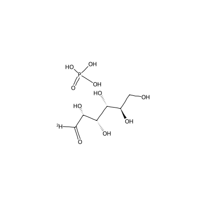 O=P(O)(O)O.[2H]C(=O)[C@H](O)[C@@H](O)[C@H](O)[C@H](O)CO